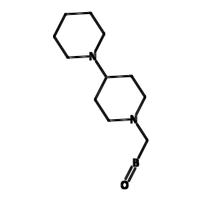 O=BCN1CCC(N2CCCCC2)CC1